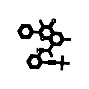 Cc1cc(C(C)Nc2ccccc2C#C[Si](C)(C)C)c2oc(-c3ccccc3)c(C)c(=O)c2c1